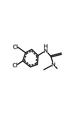 C=C(Nc1ccc(Cl)c(Cl)c1)N(C)C